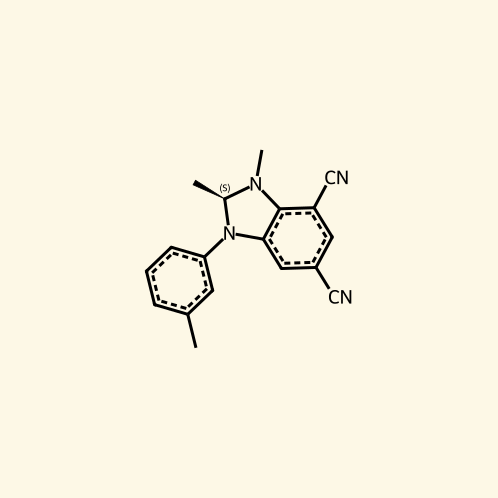 Cc1cccc(N2c3cc(C#N)cc(C#N)c3N(C)[C@@H]2C)c1